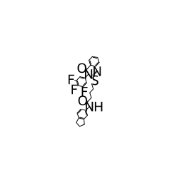 O=C(CCCCSc1nc2ccccc2c(=O)n1-c1cc(F)c(F)c(F)c1)Nc1ccc2c(c1)CCC2